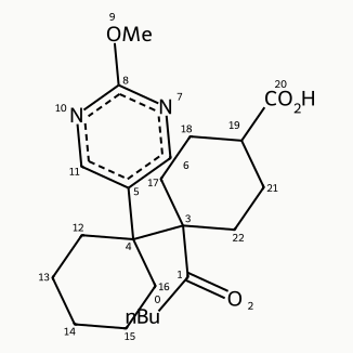 CCCCC(=O)C1(C2(c3cnc(OC)nc3)CCCCC2)CCC(C(=O)O)CC1